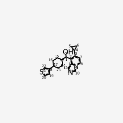 OC(c1c(C2CC2)ccn2cncc12)C1CCC(c2ccsc2)CC1